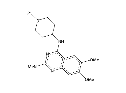 CNc1nc(NC2CCN(C(C)C)CC2)c2cc(OC)c(OC)cc2n1